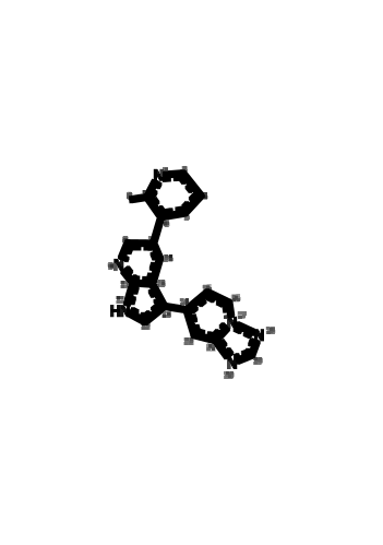 Cc1ncccc1-c1cnc2[nH]cc(-c3ccn4ncnc4c3)c2c1